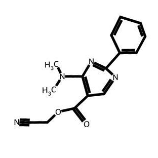 CN(C)c1nc(-c2ccccc2)ncc1C(=O)OCC#N